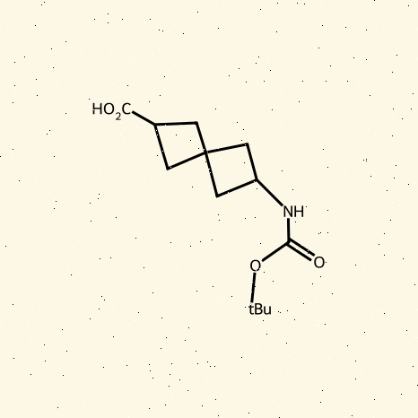 CC(C)(C)OC(=O)NC1CC2(C1)CC(C(=O)O)C2